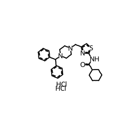 Cl.Cl.O=C(Nc1nc(CN2CCN(C(c3ccccc3)c3ccccc3)CC2)cs1)C1CCCCC1